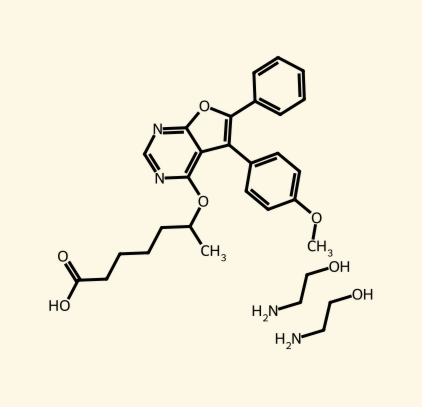 COc1ccc(-c2c(-c3ccccc3)oc3ncnc(OC(C)CCCCC(=O)O)c23)cc1.NCCO.NCCO